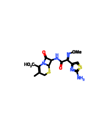 CON=C(C(=O)NC1C(=O)N2C(C(=O)O)=C(C)CSC12)c1csc(N)n1